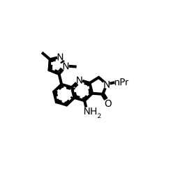 CCCN1Cc2nc3c(-c4cc(C)nn4C)cccc3c(N)c2C1=O